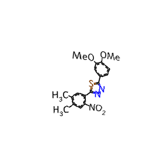 COc1ccc(-c2nnc(-c3cc(C)c(C)cc3[N+](=O)[O-])s2)cc1OC